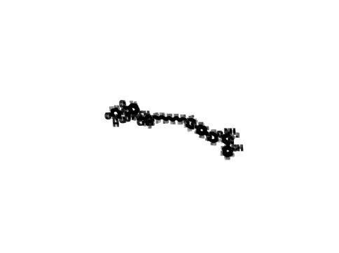 CC(C)(Nc1cccc2c1C(=O)N(C1CCC(=O)NC1=O)C2=O)c1cn(CCCCCCCCCN2CCN(c3ccc(N4CCCC(Oc5cc(-c6ccccc6O)nnc5N)C4)cc3)CC2)nn1